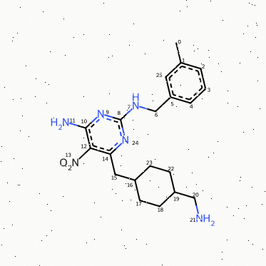 Cc1cccc(CNc2nc(N)c([N+](=O)[O-])c(CC3CCC(CN)CC3)n2)c1